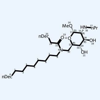 CCCCCCCCCCCCCCCCCCN(C[C@H]1O[C@H](OC)[C@H](NCCC)[C@@H](O)[C@@H]1O)C(=O)CCCCCCCCCCC